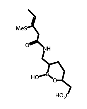 C/C=C(/CC(=O)NCC1CCC(CC(=O)O)OB1O)SC